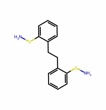 NSc1ccccc1CCc1ccccc1SN